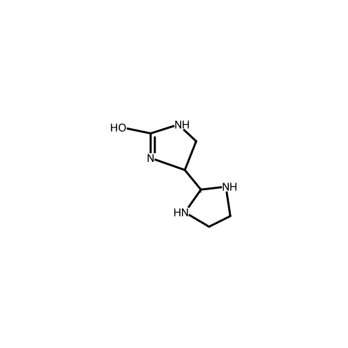 OC1=NC([C]2NCCN2)CN1